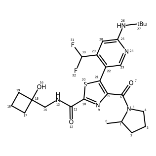 CC1CCCN1C(=O)c1nc(C(=O)NCC2(O)CCC2)sc1-c1cnc(NC(C)(C)C)cc1C(F)F